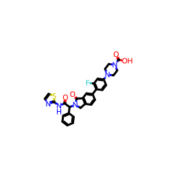 O=C(Nc1nccs1)C(c1ccccc1)N1Cc2ccc(-c3ccc(N4CCN(C(=O)O)CC4)cc3F)cc2C1=O